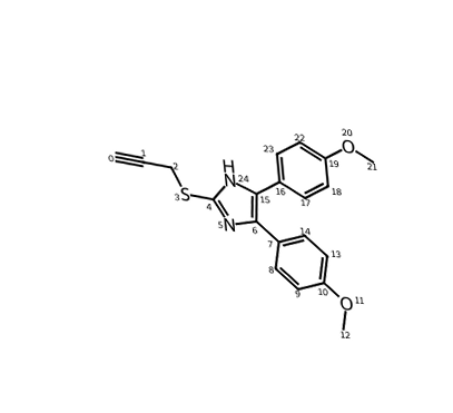 C#CCSc1nc(-c2ccc(OC)cc2)c(-c2ccc(OC)cc2)[nH]1